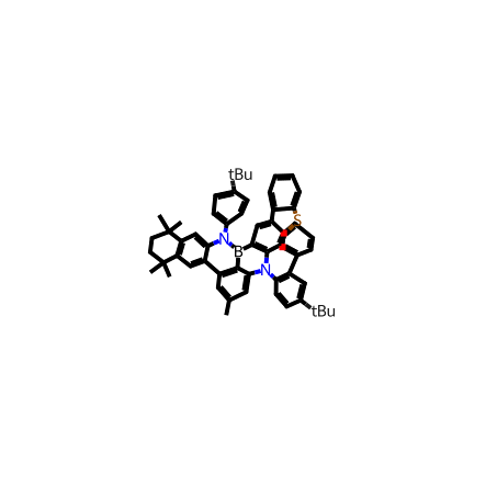 Cc1cc2c3c(c1)N(c1ccc(C(C)(C)C)cc1-c1ccccc1)c1cc4sc5ccccc5c4cc1B3N(c1ccc(C(C)(C)C)cc1)c1cc3c(cc1-2)C(C)(C)CCC3(C)C